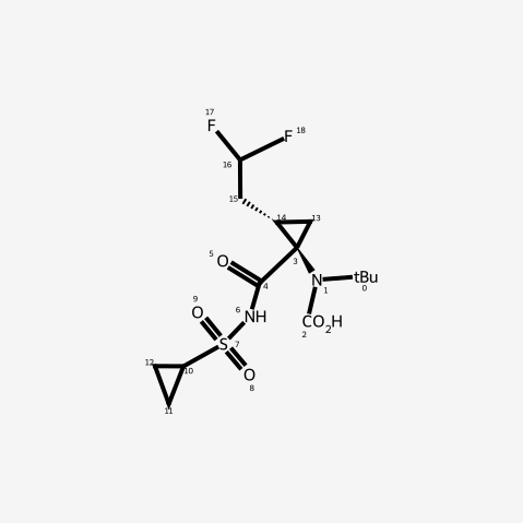 CC(C)(C)N(C(=O)O)[C@]1(C(=O)NS(=O)(=O)C2CC2)C[C@H]1CC(F)F